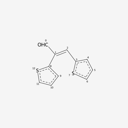 O=C/C(=C/c1cccs1)c1cccs1